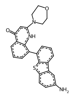 Nc1ccc2sc3c(-c4cccc5c(=O)cc(N6CCOCC6)[nH]c45)cccc3c2c1